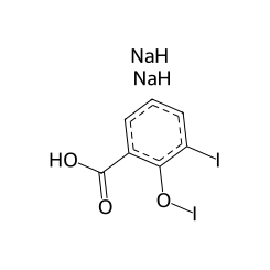 O=C(O)c1cccc(I)c1OI.[NaH].[NaH]